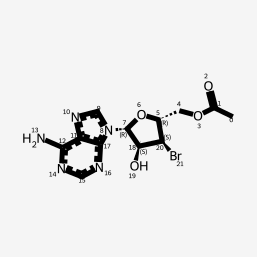 CC(=O)OC[C@H]1O[C@@H](n2cnc3c(N)ncnc32)[C@H](O)[C@@H]1Br